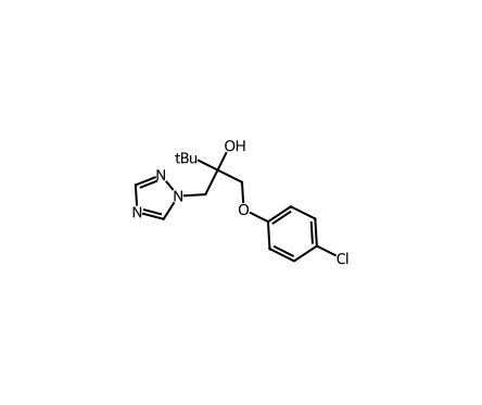 CC(C)(C)C(O)(COc1ccc(Cl)cc1)Cn1cncn1